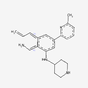 C=C/C=c1/cc(-c2cccc(C)n2)cc(NC2CCNCC2)/c1=C/N